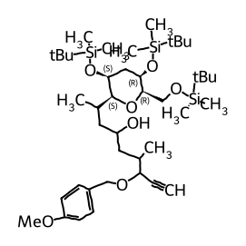 C#CC(OCc1ccc(OC)cc1)C(C)CC(O)CC(C)[C@@H]1O[C@H](CO[Si](C)(C)C(C)(C)C)[C@H](O[Si](C)(C)C(C)(C)C)C[C@@H]1O[Si](C)(C)C(C)(C)C